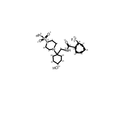 CCCS(=O)(=O)N1CCN(C2(CNC(=O)c3ccccc3C(F)(F)F)CCCCC2)CC1.Cl